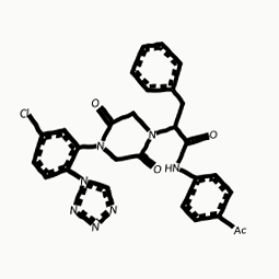 CC(=O)c1ccc(NC(=O)C(Cc2ccccc2)N2CC(=O)N(c3cc(Cl)ccc3-n3cnnn3)CC2=O)cc1